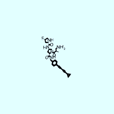 C[C@H](CN)C(=O)N1C[C@H](NC(=O)[C@@H]2C[C@H](F)CN2)C[C@@H]1C(=O)NCc1ccc(C#CC#CC2CC2)cc1